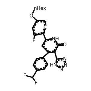 CCCCCCOc1ccc(-c2cc(-c3ccc(C(F)F)cc3)c(-c3nnn[nH]3)c(=O)[nH]2)c(F)c1